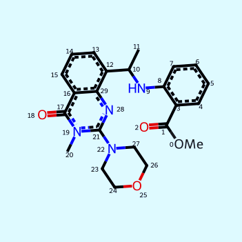 COC(=O)c1ccccc1NC(C)c1cccc2c(=O)n(C)c(N3CCOCC3)nc12